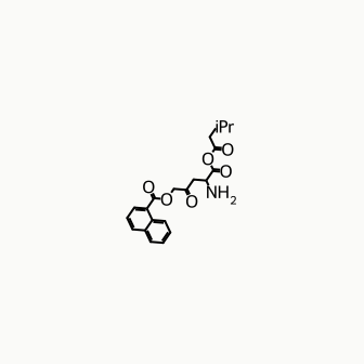 CC(C)CC(=O)OC(=O)C(N)CC(=O)COC(=O)c1cccc2ccccc12